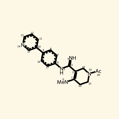 CNC1=C(C(=N)Nc2ccc(-c3cccnc3)cc2)CN(C(C)=O)CC1